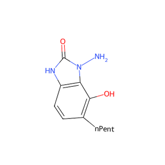 CCCCCc1ccc2[nH]c(=O)n(N)c2c1O